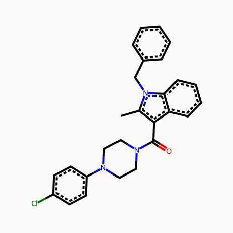 Cc1c(C(=O)N2CCN(c3ccc(Cl)cc3)CC2)c2ccccc2n1Cc1ccccc1